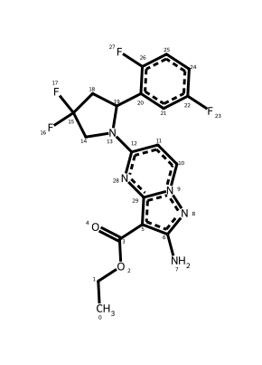 CCOC(=O)c1c(N)nn2ccc(N3CC(F)(F)CC3c3cc(F)ccc3F)nc12